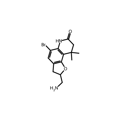 CC1(C)CC(=O)Nc2c(Br)cc3c(c21)OC(CN)C3